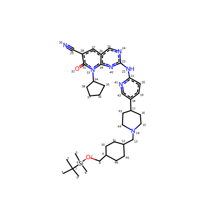 CC(C)(C)[Si](C)(C)OCC1CCC(CN2CCC(c3ccc(Nc4ncc5cc(C#N)c(=O)n(C6CCCC6)c5n4)nc3)CC2)CC1